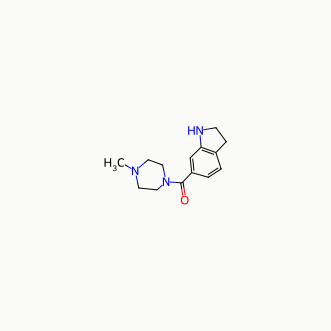 CN1CCN(C(=O)c2ccc3c(c2)NCC3)CC1